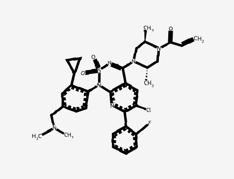 C=CC(=O)N1C[C@H](C)N(C2=NS(=O)(=O)N(c3ccc(CN(C)C)cc3C3CC3)c3nc(-c4ccccc4F)c(Cl)cc32)C[C@H]1C